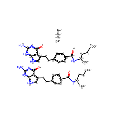 Nc1nc(=O)c2c(CCc3ccc(C(=O)N[C@@H](CCC(=O)[O-])C(=O)[O-])cc3)c[nH]c2[nH]1.Nc1nc(=O)c2c(CCc3ccc(C(=O)N[C@@H](CCC(=O)[O-])C(=O)[O-])cc3)c[nH]c2[nH]1.[Na+].[Na+].[Na+].[Na+]